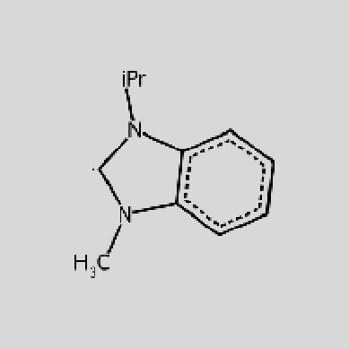 CC(C)N1[CH]N(C)c2ccccc21